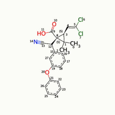 CC1(C)[C@H](C=C(Cl)Cl)[C@]1(C(=O)O)C(C#N)c1cccc(Oc2ccccc2)c1